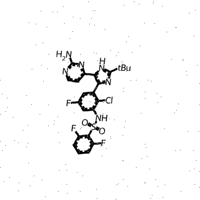 CC(C)(C)c1nc(-c2cc(F)cc(NS(=O)(=O)c3c(F)cccc3F)c2Cl)c(-c2ccnc(N)n2)[nH]1